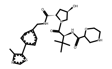 Cc1ncsc1-c1ccc(CNC(=O)[C@@H]2C[C@@H](O)CN2C(=O)[C@@H](NC(=O)C2CNCCO2)C(C)(C)C)cc1